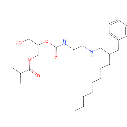 CCCCCCCCC(CNCCNC(=O)OC(CO)COC(=O)C(C)C)Cc1ccccc1